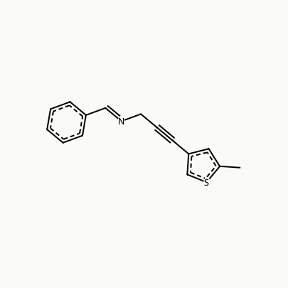 Cc1cc(C#CC/N=C/c2ccccc2)cs1